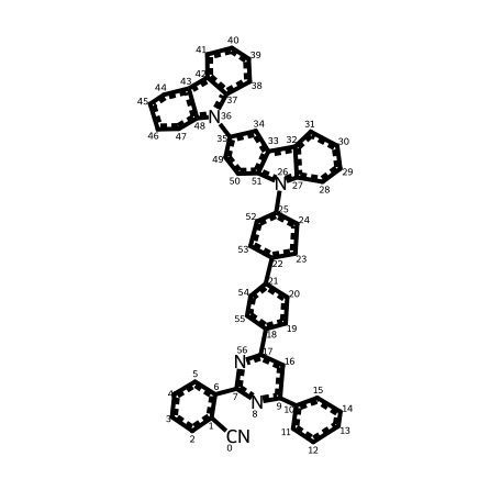 N#Cc1ccccc1-c1nc(-c2ccccc2)cc(-c2ccc(-c3ccc(-n4c5ccccc5c5cc(-n6c7ccccc7c7ccccc76)ccc54)cc3)cc2)n1